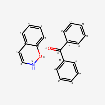 C1=Cc2ccccc2ON1.O=C(c1ccccc1)c1ccccc1